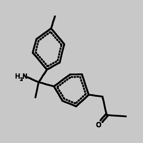 CC(=O)Cc1ccc(C(C)(N)c2ccc(C)cc2)cc1